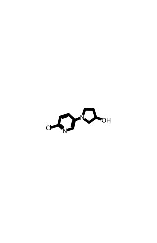 OC1CCN(c2ccc(Cl)nc2)C1